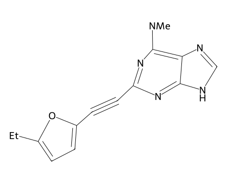 CCc1ccc(C#Cc2nc(NC)c3nc[nH]c3n2)o1